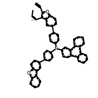 C#Cc1oc2ccc(-c3ccc(N(c4ccc(-c5ccc6oc7ccccc7c6c5)cc4)c4ccc5c6ccccc6c6ccccc6c5c4)cc3)cc2c1/C=C\C